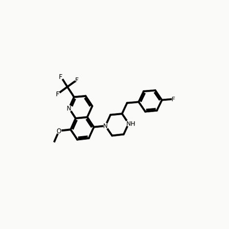 COc1ccc(N2CCNC(Cc3ccc(F)cc3)C2)c2ccc(C(F)(F)F)nc12